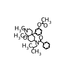 COC12CCC(N(CC(C)C)C(=O)c3ccccc3)CC1(c1cccc(OC(C)=O)c1)CCN(C)C2